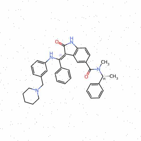 C[C@H](c1ccccc1)N(C)C(=O)c1ccc2c(c1)/C(=C(/Nc1cccc(CN3CCCCC3)c1)c1ccccc1)C(=O)N2